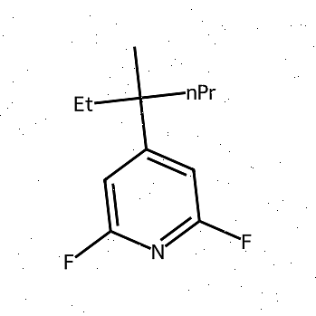 CCCC(C)(CC)c1cc(F)nc(F)c1